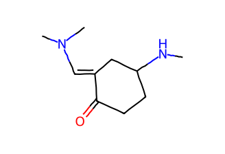 CNC1CCC(=O)/C(=C/N(C)C)C1